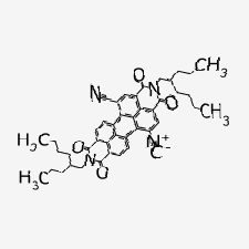 [C-]#[N+]c1cc2c3c(cc(C#N)c4c5ccc6c7c(ccc(c1c34)c75)C(=O)N(CC(CCC)CCCC)C6=O)C(=O)N(CC(CCC)CCCC)C2=O